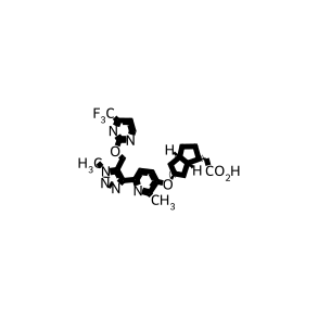 Cc1nc(-c2nnn(C)c2COc2nccc(C(F)(F)F)n2)ccc1O[C@H]1C[C@@H]2CC[C@H](CC(=O)O)[C@@H]2C1